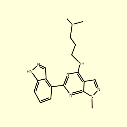 CN(C)CCCNc1nc(-c2cccc3[nH]ncc23)nc2c1cnn2C